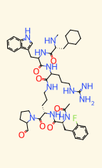 CN[C@H](CC1CCCCC1)C(=O)NC(Cc1c[nH]c2ccccc12)C(=O)NC(CCCNC(=N)N)C(=O)NCCC[C@H](NC(=O)[C@H](Cc1ccccc1F)NC(C)=O)C(=O)N1CCCC1C=O